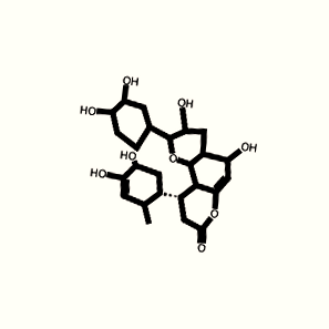 CC1C=C(O)C(O)CC1[C@H]1CC(=O)OC2=CC(O)C3CC(O)C(C4CCC(O)C(O)C4)OC3C21